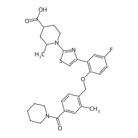 Cc1cc(C(=O)N2CCCCC2)ccc1COc1ccc(F)cc1-c1csc(N2CCC(C(=O)O)CC2C)n1